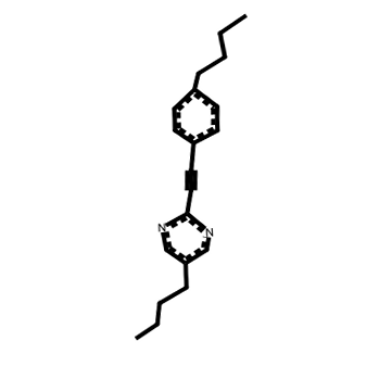 CCCCc1ccc(C#Cc2ncc(CCCC)cn2)cc1